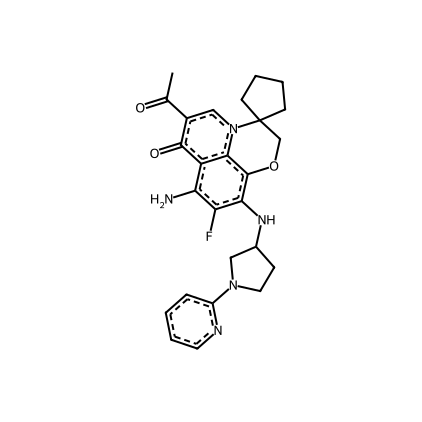 CC(=O)c1cn2c3c(c(NC4CCN(c5ccccn5)C4)c(F)c(N)c3c1=O)OCC21CCCC1